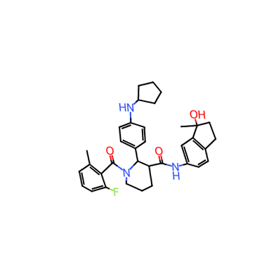 Cc1cccc(F)c1C(=O)N1CCCC(C(=O)Nc2ccc3c(c2)C(C)(O)CC3)C1c1ccc(NC2CCCC2)cc1